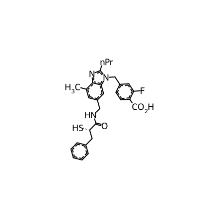 CCCc1nc2c(C)cc(CNC(=O)[C@@H](S)Cc3ccccc3)cc2n1Cc1ccc(C(=O)O)c(F)c1